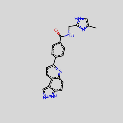 Cc1c[nH]c(CNC(=O)c2ccc(-c3ccc4c(ccc5[nH]ncc54)n3)cc2)n1